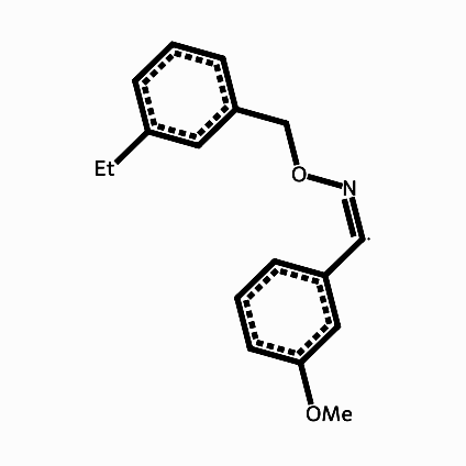 CCc1cccc(CO/N=[C]\c2cccc(OC)c2)c1